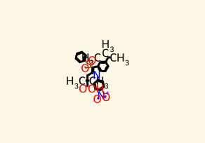 Cc1c(C(C)C)ccc2c1c(S(=O)(=O)c1ccccc1)c(CC(C)(C)C(=O)O)n2-c1ccc([N+](=O)[O-])cc1